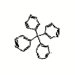 [c]1cccc(C(c2ccccc2)(c2ccccc2)c2ccccc2)c1